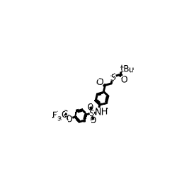 CC(C)(C)C(=O)SCC(=O)c1ccc(NS(=O)(=O)c2ccc(OC(F)(F)F)cc2)cc1